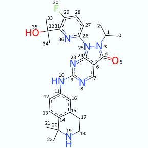 CC(C)n1c(=O)c2cnc(Nc3ccc4c(c3)CCNC4(C)C)nc2n1-c1ccc(F)c(C(C)(C)O)n1